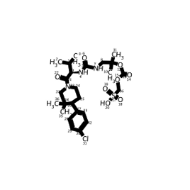 CC(C)[C@@H](NC(=O)NCC(C)(C)OC(=O)OCS(=O)(=O)O)C(=O)N1CCC(c2ccc(Cl)cc2)C(C)(C)C1